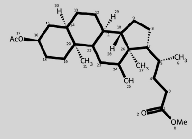 COC(=O)CC[C@@H](C)[C@H]1CC[C@H]2[C@@H]3CC[C@@H]4C[C@H](OC(C)=O)CC[C@]4(C)C3CC(O)[C@]12C